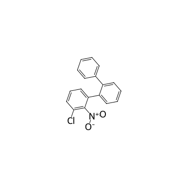 O=[N+]([O-])c1c(Cl)cccc1-c1ccccc1-c1ccccc1